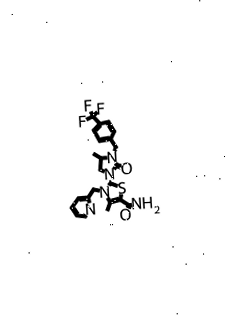 CC1=C(C(N)=O)S[C@@H](N2CC(C)N(Cc3ccc(C(F)(F)F)cc3)C2=O)N1Cc1ccccn1